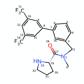 CN(Cc1cccc(-c2cc(C(F)(F)F)cc(C(F)(F)F)c2)c1)C(=O)[C@@H]1CCCN1